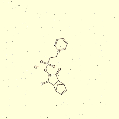 O=C1C2C3C=CC(C3)C2C(=O)N1OS(=O)(=O)CC[n+]1ccccc1.[Cl-]